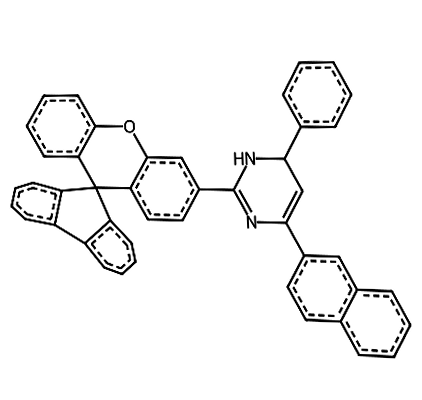 C1=C(c2ccc3ccccc3c2)N=C(c2ccc3c(c2)Oc2ccccc2C32c3ccccc3-c3ccccc32)NC1c1ccccc1